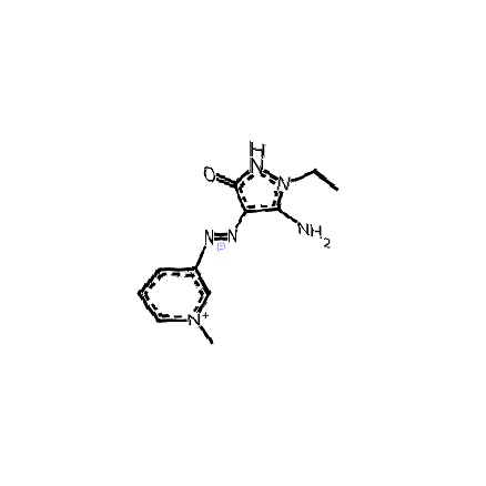 CCn1[nH]c(=O)c(/N=N/c2ccc[n+](C)c2)c1N